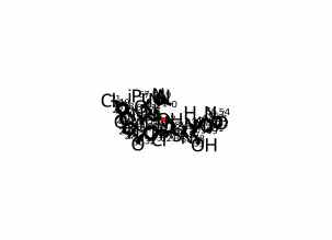 Cc1cn([C@H](C(=O)N2C[C@H](O)C[C@H]2C(=O)NCc2ccc(Cl)cc2OC2CCN(C(=O)C3CCN(c4nccc(Sc5cnc(N6CCC7(CC6)CO[C@@H](C)[C@H]7N)c(CO)n5)c4Cl)CC3)CC2)C(C)C)nn1